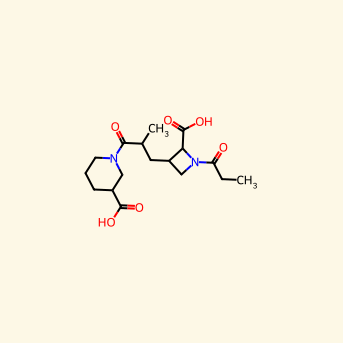 CCC(=O)N1CC(CC(C)C(=O)N2CCCC(C(=O)O)C2)C1C(=O)O